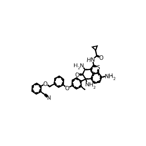 Cc1cc(Oc2cccc(COc3ccccc3C#N)c2)ccc1C1(N)C(=O)C(N)c2c(NC(=O)C3CC3)sc3c(N)ccc1c23